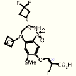 CSc1cc2c(cc1O/C=C(\F)C(=O)O)S(=O)(=O)N[C@@H](C1CC(F)(F)C1)CN2C12CC(C1)C2